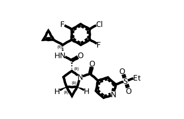 CCS(=O)(=O)c1cc(C(=O)N2[C@@H](C(=O)N[C@H](C3=CC3)c3cc(F)c(Cl)cc3F)C[C@H]3C[C@H]32)ccn1